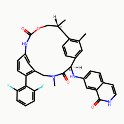 Cc1cc2ccc1[C@@H](C)COC(=O)Nc1ccc(-c3c(F)cccc3F)c(c1)CN(C)C(=O)[C@@H]2Nc1ccc2cc[nH]c(=O)c2c1